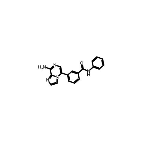 Nc1ncc(-c2cccc(C(=O)Nc3ccccc3)c2)n2ccnc12